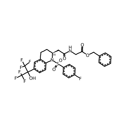 O=C(C[C@@H]1CCc2cc(C(O)(C(F)(F)F)C(F)(F)F)ccc2N1S(=O)(=O)c1ccc(F)cc1)NCC(=O)OCc1ccccc1